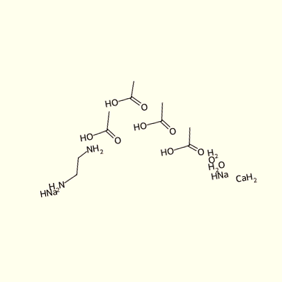 CC(=O)O.CC(=O)O.CC(=O)O.CC(=O)O.NCCN.O.O.[CaH2].[NaH].[NaH]